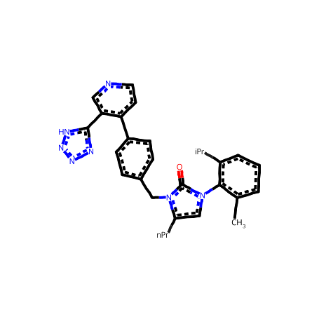 CCCc1cn(-c2c(C)cccc2C(C)C)c(=O)n1Cc1ccc(-c2ccncc2-c2nnn[nH]2)cc1